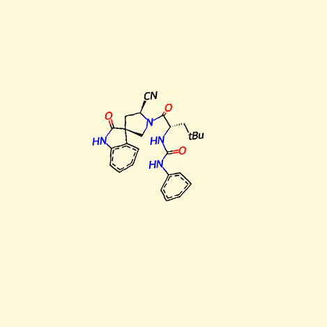 CC(C)(C)C[C@H](NC(=O)Nc1ccccc1)C(=O)N1C[C@]2(C[C@H]1C#N)C(=O)Nc1ccccc12